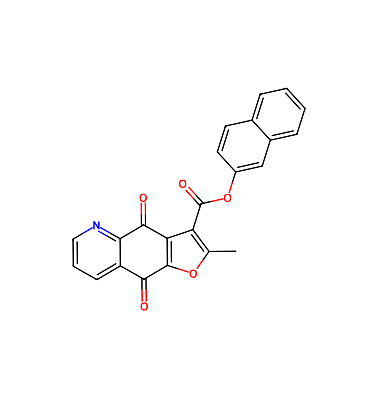 Cc1oc2c(c1C(=O)Oc1ccc3ccccc3c1)C(=O)c1ncccc1C2=O